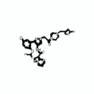 O=C1C=C(CN2CCN(C(=O)Cn3cc(NC(=O)c4cnn5cccnc45)c(-c4cc(Cl)ccc4OC(F)F)n3)CC2)CO1